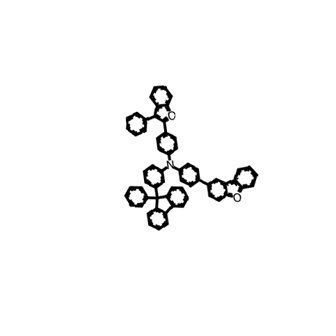 c1ccc(-c2c(-c3ccc(N(c4ccc(-c5ccc6oc7ccccc7c6c5)cc4)c4cccc(C5(c6ccccc6)c6ccccc6-c6ccccc65)c4)cc3)oc3ccccc23)cc1